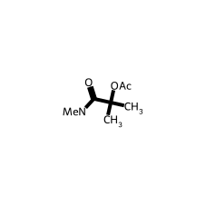 CNC(=O)C(C)(C)OC(C)=O